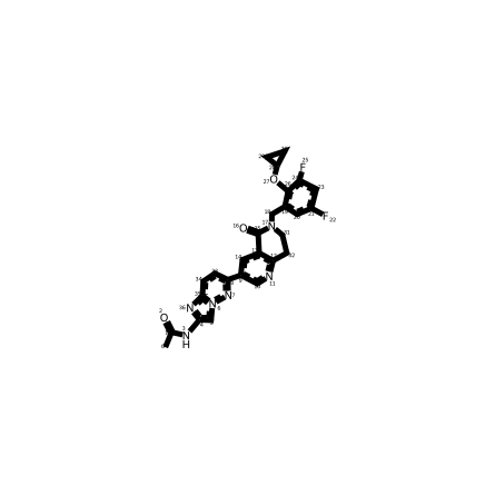 CC(=O)Nc1cn2nc(-c3cnc4c(c3)C(=O)N(Cc3cc(F)cc(F)c3OC3CC3)CC4)ccc2n1